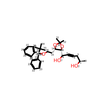 C[C@@H](O)CC#CC(O)[C@H]1OC(C)(C)O[C@H]1CCO[Si](c1ccccc1)(c1ccccc1)C(C)(C)C